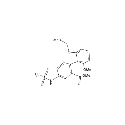 COCOc1cccc(OC)c1-c1ccc(NS(C)(=O)=O)cc1C(=O)OC